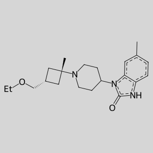 CCOC[C@H]1C[C@@](C)(N2CCC(n3c(=O)[nH]c4ccc(C)cc43)CC2)C1